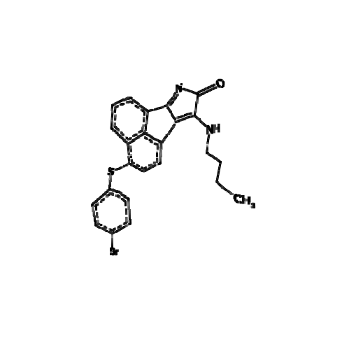 CCCCNC1=C2C(=NC1=O)c1cccc3c(Sc4ccc(Br)cc4)ccc2c13